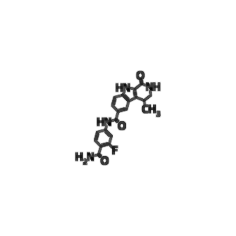 CC1CNC(=O)c2[nH]c3ccc(C(=O)Nc4ccc(C(N)=O)c(F)c4)cc3c21